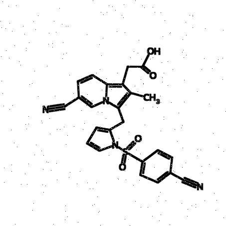 Cc1c(CC(=O)O)c2ccc(C#N)cn2c1Cc1cccn1S(=O)(=O)c1ccc(C#N)cc1